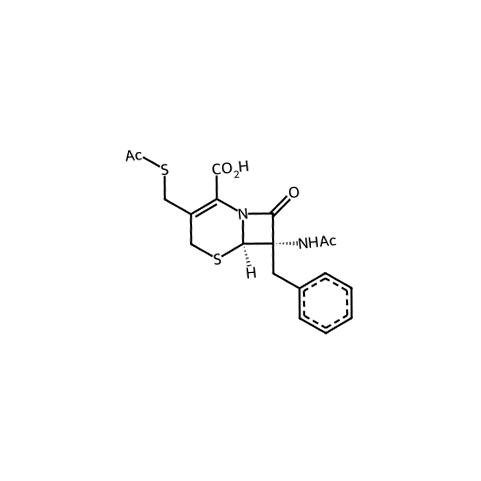 CC(=O)N[C@@]1(Cc2ccccc2)C(=O)N2C(C(=O)O)=C(CSC(C)=O)CS[C@@H]21